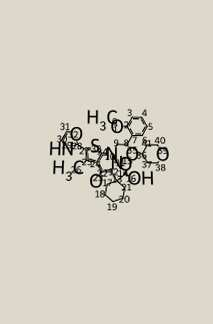 COc1ccccc1C(Cn1nc(C2(C(=O)O)CCCCC2)c(=O)c2c(C)c(C3NC=CO3)sc21)OC1CCOCC1